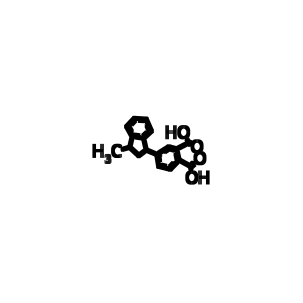 CC1CC(c2ccc(C(=O)O)c(C(=O)O)c2)c2ccccc21